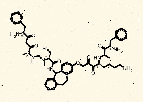 CC(C)C[C@H](NCN[C@@H](C)C(=O)CC(=O)[C@@H](N)Cc1ccccc1)C(=O)NC1c2ccccc2CCc2cc(OCC(=O)C(=O)[C@H](CCCCN)NC(C)C(=O)[C@@H](N)Cc3ccccc3)ccc21